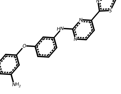 Nc1cccc(Oc2cccc(Nc3nccc(-c4nccs4)n3)c2)c1